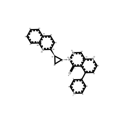 O=c1c2c(-c3ccncc3)ccnc2cnn1[C@@H]1C[C@H]1c1ccc2ccccc2n1